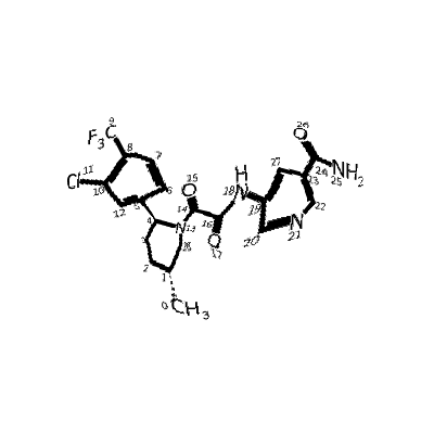 C[C@@H]1CC[C@@H](c2ccc(C(F)(F)F)c(Cl)c2)N(C(=O)C(=O)Nc2cncc(C(N)=O)c2)C1